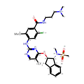 COc1cc(C(=O)NCCCN(C)C)c(F)cc1Nc1ncc(C(F)(F)F)c(O[C@@H]2Cc3ccccc3[C@H]2N(C)S(C)(=O)=O)n1